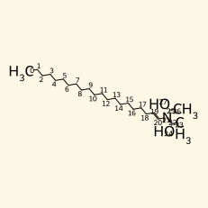 CCCCCCCCCCCCCCCCCCCC=CN(C(C)O)C(C)O